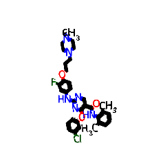 Cc1cccc(C)c1NC(=O)c1cnc(Nc2ccc(OCCCN3CCN(C)CC3)c(F)c2)nc1Oc1cccc(Cl)c1